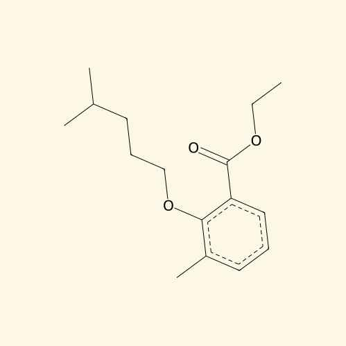 CCOC(=O)c1cccc(C)c1OCCCC(C)C